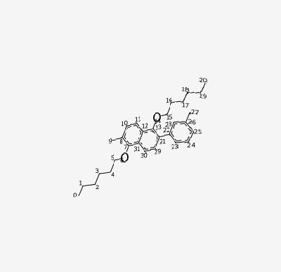 CCCCCCOc1c(C)ccc2c(OCCCCCC)c(-c3cccc(C)c3)ccc12